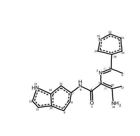 C/C(=N\C(C(=O)Nc1ccc2cc[nH]c2c1)=C(/C)N)c1cccnc1